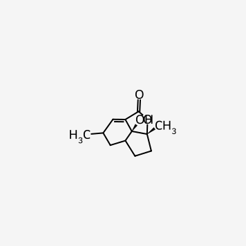 CC1C=C2C(=O)O[C@]3(C)CCC(C1)[C@]23O